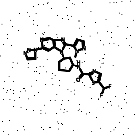 Cn1nccc1-c1nc2cnc(-n3ccnn3)cc2n1[C@@H]1CCC[C@H](NC(=O)c2ncc(C(F)F)s2)C1